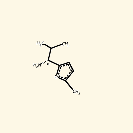 Cc1ccc([C@H](N)C(C)C)o1